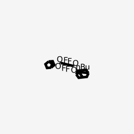 CCCCC1(OC(=O)C(F)(F)C(F)(F)C(=O)OC2CC3CCC2C3)C2CC3CC(C2)CC1C3